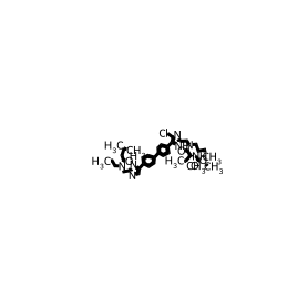 CCCCN(Cc1nc(Cl)c(-c2ccc(-c3ccc(-c4cnc(CN(CCC)C(=O)CC(C)C)[nH]4)cc3)cc2)[nH]1)C(=O)[C@@H](NC(=O)OC)C(C)C